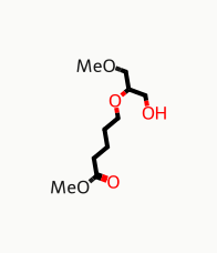 COCC(CO)OCCCCC(=O)OC